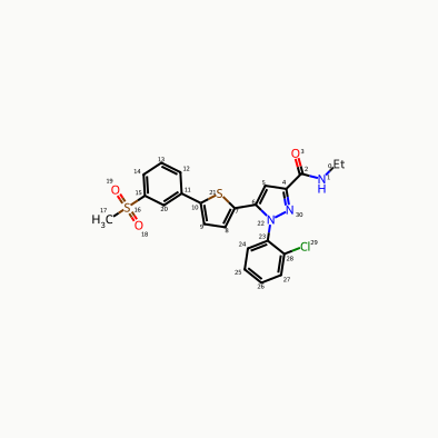 CCNC(=O)c1cc(-c2ccc(-c3cccc(S(C)(=O)=O)c3)s2)n(-c2ccccc2Cl)n1